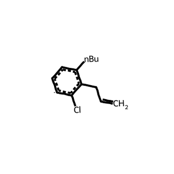 C=CCc1c(Cl)[c]ccc1CCCC